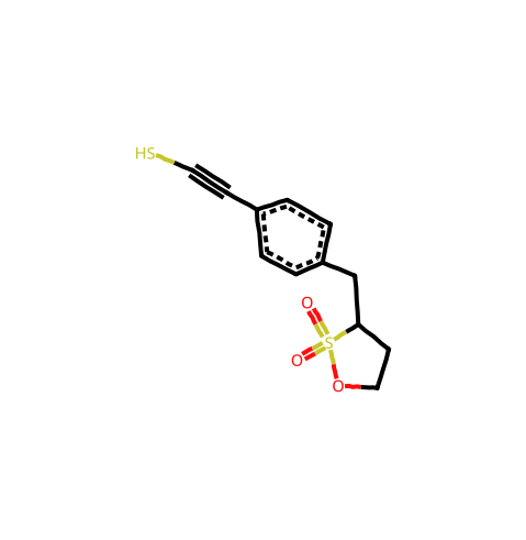 O=S1(=O)OCCC1Cc1ccc(C#CS)cc1